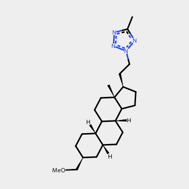 COC[C@H]1CC[C@@H]2C3CC[C@@]4(C)C(CC[C@@H]4CCn4nnc(C)n4)[C@@H]3CC[C@@H]2C1